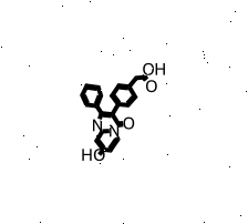 O=C(O)Cc1ccc(-c2c(-c3ccccc3)nc3cc(O)ccn3c2=O)cc1